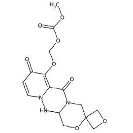 COC(=O)OCOc1c2n(ccc1=O)NC1COC3(COC3)CN1C2=O